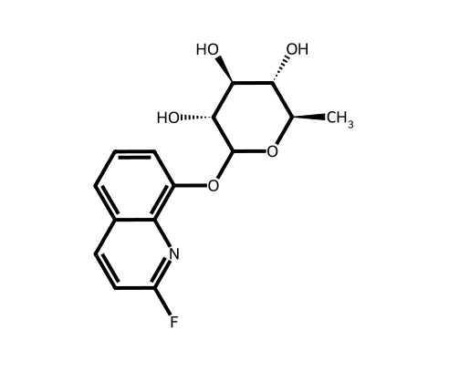 C[C@H]1OC(Oc2cccc3ccc(F)nc23)[C@H](O)[C@@H](O)[C@@H]1O